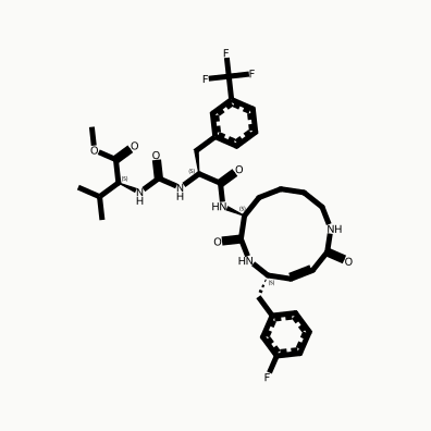 COC(=O)[C@@H](NC(=O)N[C@@H](Cc1cccc(C(F)(F)F)c1)C(=O)N[C@H]1CCCCNC(=O)C=C[C@H](Cc2cccc(F)c2)NC1=O)C(C)C